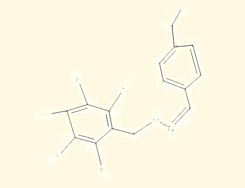 CCc1ccc(/[C]=N\OCc2c(F)c(F)c(F)c(F)c2F)cc1